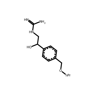 CCCOCc1ccc(C(O)CNC(=N)N)cc1